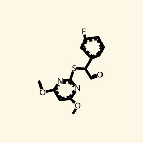 COc1cc(OC)nc(SC(C=O)c2cccc(F)c2)n1